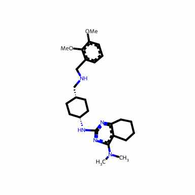 COc1cccc(CNC[C@H]2CC[C@@H](Nc3nc4c(c(N(C)C)n3)CCCC4)CC2)c1OC